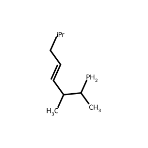 CC(C)C/C=C/C(C)C(C)P